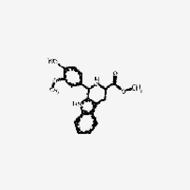 COC(=O)C1Cc2c([nH]c3ccccc23)C(c2ccc(O)c(OC)c2)N1